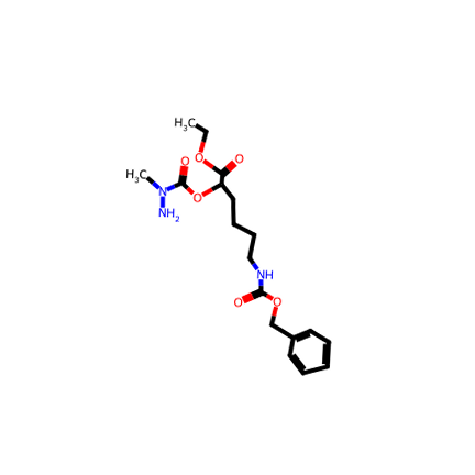 CCOC(=O)C(CCCCNC(=O)OCc1ccccc1)OC(=O)N(C)N